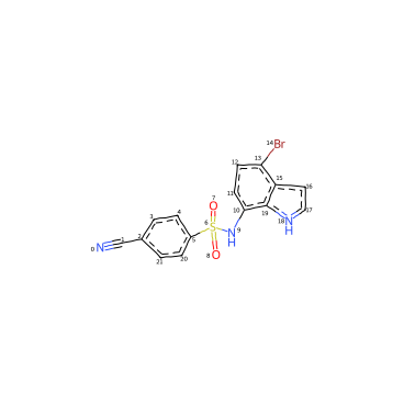 N#Cc1ccc(S(=O)(=O)Nc2ccc(Br)c3cc[nH]c23)cc1